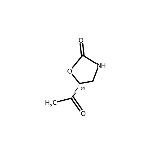 CC(=O)[C@H]1CNC(=O)O1